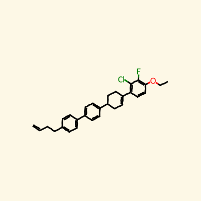 C=CCCc1ccc(-c2ccc(C3CC=C(c4ccc(OCC)c(F)c4Cl)CC3)cc2)cc1